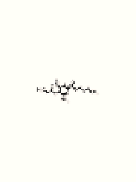 C=CC(=O)Oc1c(N)cc(C(=O)OCCCC)cc1N